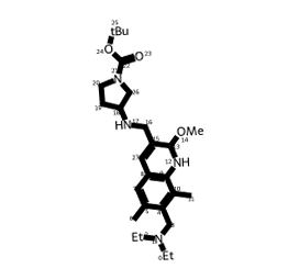 CCN(CC)Cc1c(C)cc2c(c1C)NC(OC)C(CNC1CCN(C(=O)OC(C)(C)C)C1)=C2